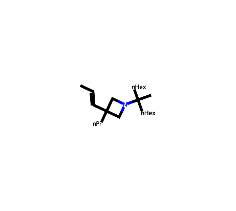 CC=CC1(CCC)CN(C(C)(CCCCCC)CCCCCC)C1